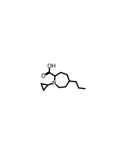 CCCC1CCC(C(=O)O)N(C2CC2)CC1